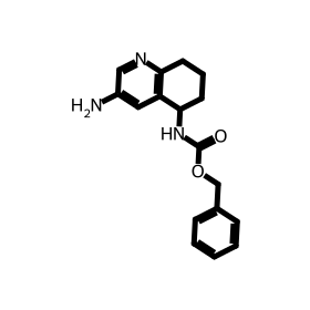 Nc1cnc2c(c1)C(NC(=O)OCc1ccccc1)CCC2